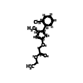 CCOC(=O)COc1nc(-c2ccccc2Cl)n(C)n1